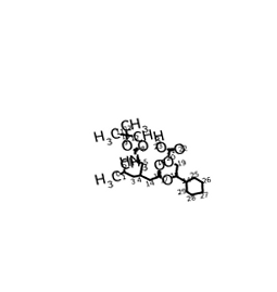 CC(C)CC(CNC(=O)OC(C)(C)C)CC(=O)OC(COC(=O)O)C1CCCCC1